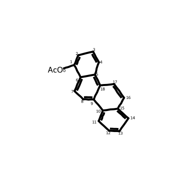 CC(=O)Oc1cccc2c1ccc1c3ccccc3ccc21